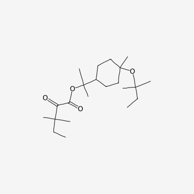 CCC(C)(C)OC1(C)CCC(C(C)(C)OC(=O)C(=O)C(C)(C)CC)CC1